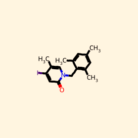 Cc1cc(C)c(Cn2cc(C)c(I)cc2=O)c(C)c1